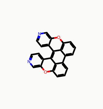 c1cc2oc3cnccc3c3c2c(c1)c1cccc2oc4cnccc4c3c21